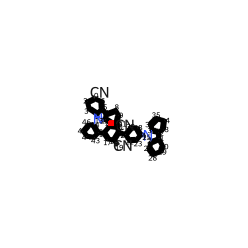 N#Cc1ccc2c(c1)c1ccccc1n2C1=C(c2cc(C#N)c(-c3ccc(-n4c5c#cccc5c5ccc#cc54)cc3)c(C#N)c2)CCC=C1